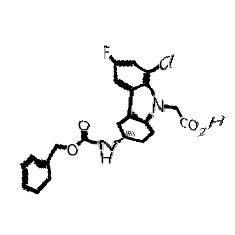 O=C(O)Cn1c2c(c3cc(F)cc(Cl)c31)C[C@H](NC(=O)OCc1ccccc1)CC2